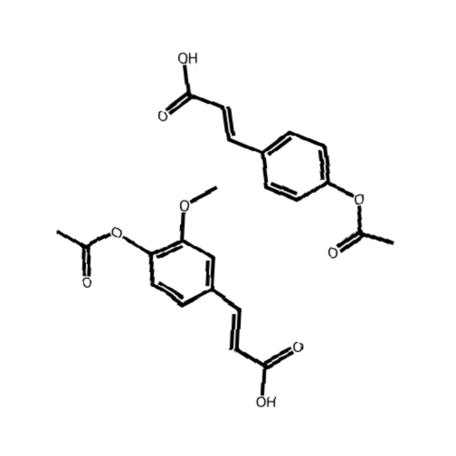 CC(=O)Oc1ccc(/C=C/C(=O)O)cc1.COc1cc(/C=C/C(=O)O)ccc1OC(C)=O